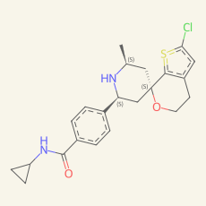 C[C@H]1C[C@@]2(C[C@@H](c3ccc(C(=O)NC4CC4)cc3)N1)OCCc1cc(Cl)sc12